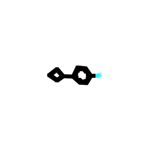 Fc1ccc(C2CCC2)cc1